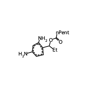 CCCCCC(=O)OC(CC)c1ccc(N)cc1N